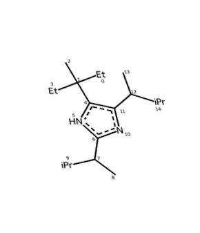 CCC(C)(CC)c1[nH]c(C(C)C(C)C)nc1C(C)C(C)C